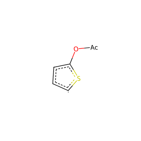 CC(=O)Oc1cc[c]s1